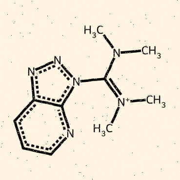 CN(C)C(n1nnc2cccnc21)=[N+](C)C